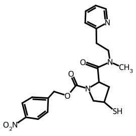 CN(CCc1ccccn1)C(=O)C1CC(S)CN1C(=O)OCc1ccc([N+](=O)[O-])cc1